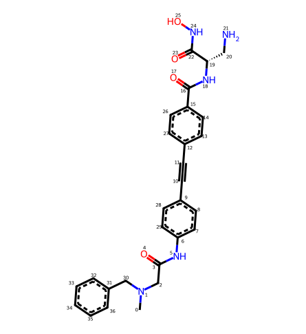 CN(CC(=O)Nc1ccc(C#Cc2ccc(C(=O)N[C@@H](CN)C(=O)NO)cc2)cc1)Cc1ccccc1